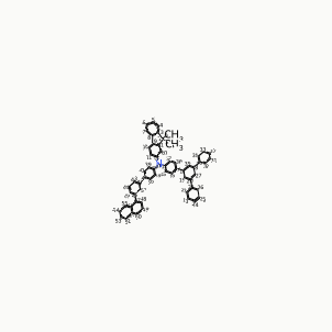 CC1(C)c2ccccc2-c2ccc(N(c3ccc(-c4cc(-c5ccccc5)cc(-c5ccccc5)c4)cc3)c3ccc(-c4cccc(-c5cccc6ccccc56)c4)cc3)cc21